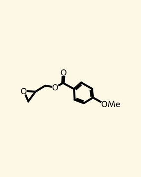 COc1ccc(C(=O)OCC2CO2)cc1